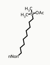 [CH2]C(=O)O[Si](C)(C)CCCCCCCCCCCCCCCCCC